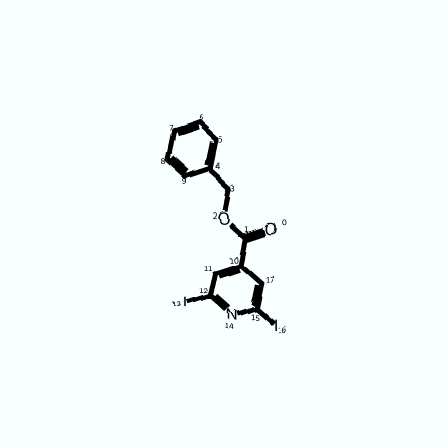 O=C(OCc1ccccc1)c1cc(I)nc(I)c1